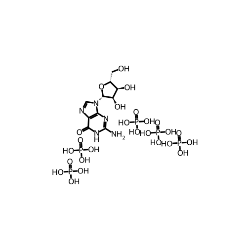 Nc1nc2c(ncn2[C@@H]2O[C@H](CO)[C@@H](O)[C@H]2O)c(=O)[nH]1.O=P(O)(O)O.O=P(O)(O)O.O=P(O)(O)O.O=P(O)(O)O.O=P(O)(O)O